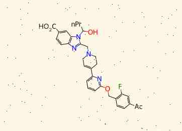 CCCC(O)n1c(CN2CC=C(c3cccc(OCc4ccc(C(C)=O)cc4F)n3)CC2)nc2ccc(C(=O)O)cc21